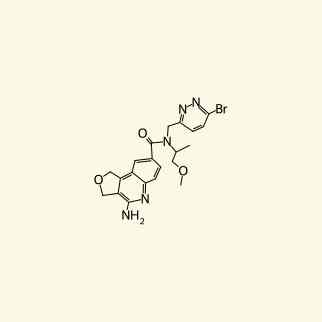 COCC(C)N(Cc1ccc(Br)nn1)C(=O)c1ccc2nc(N)c3c(c2c1)COC3